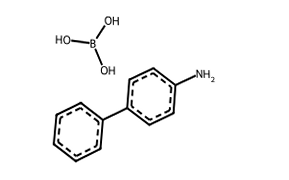 Nc1ccc(-c2ccccc2)cc1.OB(O)O